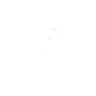 O=C1NCCN1c1c[c]ccc1